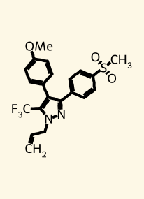 C=CCn1nc(-c2ccc(S(C)(=O)=O)cc2)c(-c2ccc(OC)cc2)c1C(F)(F)F